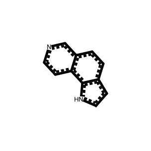 [c]1cc2ccc3cnccc3c2[nH]1